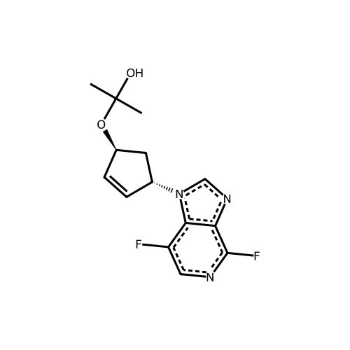 CC(C)(O)O[C@@H]1C=C[C@@H](n2cnc3c(F)ncc(F)c32)C1